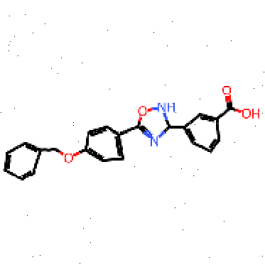 O=C(O)c1cccc(C2N=C(c3ccc(OCc4ccccc4)cc3)ON2)c1